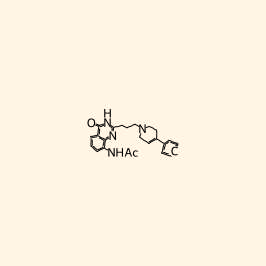 CC(=O)Nc1cccc2c(=O)[nH]c(CCCN3CC=C(c4ccccc4)CC3)nc12